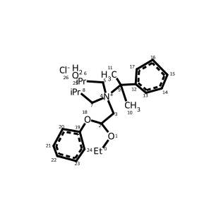 CCOC(C[N+](CC(C)C)(CC(C)C)C(C)(C)c1ccccc1)Oc1ccccc1.O.[Cl-]